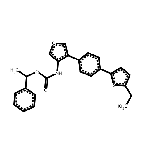 CC(OC(=O)Nc1cocc1-c1ccc(-c2ccc(CC(=O)O)s2)cc1)c1ccccc1